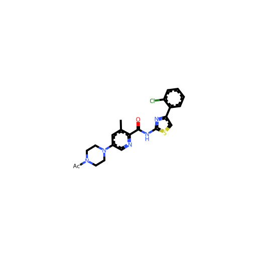 CC(=O)N1CCN(c2cnc(C(=O)Nc3nc(-c4ccccc4Cl)cs3)c(C)c2)CC1